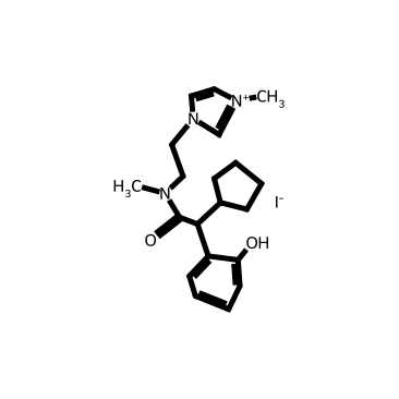 CN(CCn1cc[n+](C)c1)C(=O)C(c1ccccc1O)C1CCCC1.[I-]